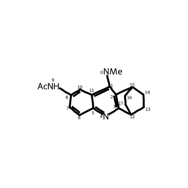 CNc1c2c(nc3ccc(NC(C)=O)cc13)C1CCC2CC1